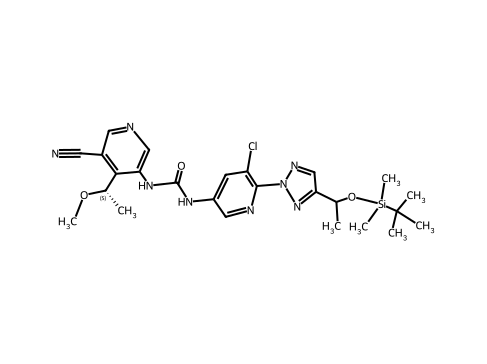 CO[C@@H](C)c1c(C#N)cncc1NC(=O)Nc1cnc(-n2ncc(C(C)O[Si](C)(C)C(C)(C)C)n2)c(Cl)c1